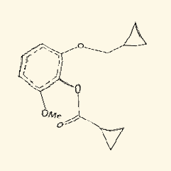 COc1cccc(OCC2CC2)c1OC(=O)C1CC1